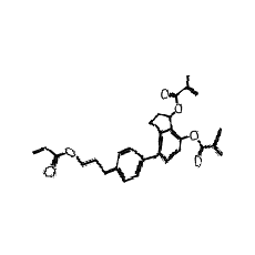 C=CC(=O)OCCCc1ccc(-c2ccc(OC(=O)C(=C)C)c3c2CCC3OC(=O)C(=C)C)cc1